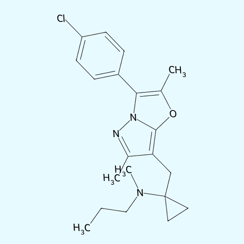 CCCN(C)C1(Cc2c(C)nn3c(-c4ccc(Cl)cc4)c(C)oc23)CC1